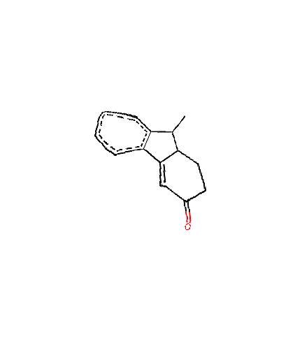 CC1c2ccccc2C2=CC(=O)CCC21